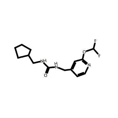 O=C(NCc1ccnc(OC(F)F)c1)NCC1CCCC1